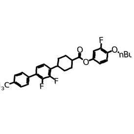 CCCCOc1ccc(OC(=O)C2CCC(c3ccc(-c4ccc(C)cc4)c(F)c3F)CC2)cc1F